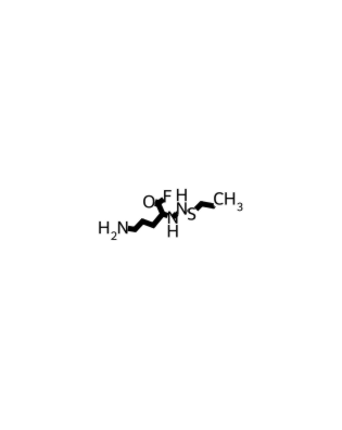 CCCSNNC(CCCN)C(=O)F